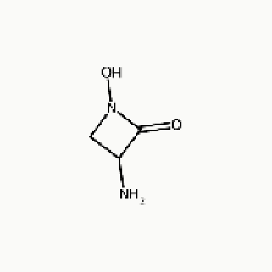 NC1CN(O)C1=O